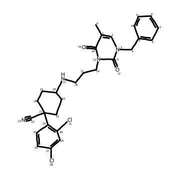 Cc1cn(Cc2ccccc2)c(=O)n(CCCNC2CCC(C#N)(c3ccc(Cl)cc3Cl)CC2)c1=O